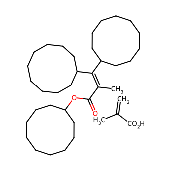 C=C(C)C(=O)O.CC(C(=O)OC1CCCCCCCCC1)=C(C1CCCCCCCCC1)C1CCCCCCCCC1